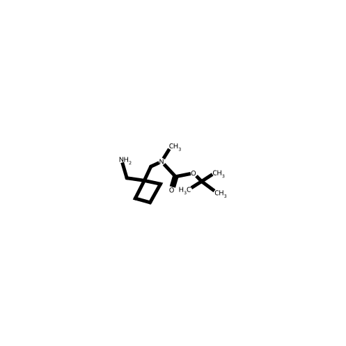 CN(CC1(CN)CCC1)C(=O)OC(C)(C)C